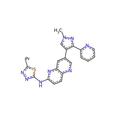 CC(C)c1nnc(Nc2ccc3ncc(-c4cn(C)nc4-c4ccccn4)cc3n2)s1